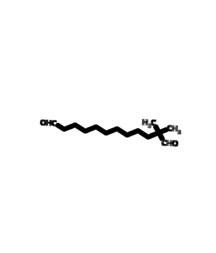 CC(C)(C=O)CCCCCCCCCC=O